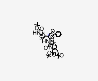 CC(=O)OCC1=C(C(=O)OC(C)(C)C)N2C(=O)C(NC(=O)/C(=C\S(=O)(=O)c3ccccc3)c3csc(NC(=O)OC(C)(C)C)n3)[C@H]2SC1